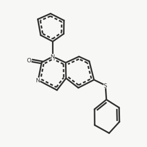 O=c1ncc2cc(SC3=CCCC=C3)ccc2n1-c1ccccc1